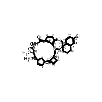 COC12C=C[C@@H](C1)[C@H](C)[C@@H](C)S(=O)(=O)NC(=O)c1ccc3c(c1)N(C[C@@H]1CC[C@H]12)C[C@@]1(CCCc2cc(Cl)ccc21)CO3